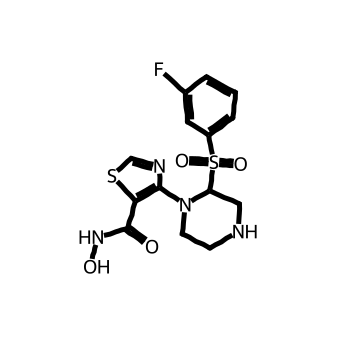 O=C(NO)c1scnc1N1CCNCC1S(=O)(=O)c1cccc(F)c1